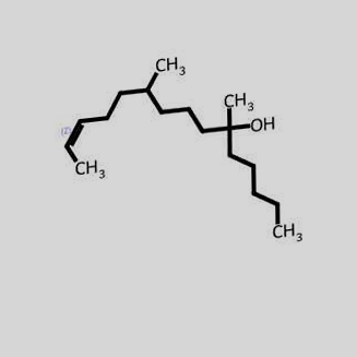 C/C=C\CCC(C)CCCC(C)(O)CCCCC